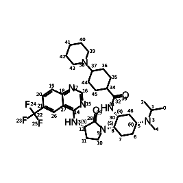 CC(C)N(C)[C@@H]1CC[C@H](N2CC[C@H](Nc3ncnc4ccc(C(F)(F)F)cc34)C2=O)[C@H](NC(=O)C2CCC(N3CCCCC3)CC2)C1